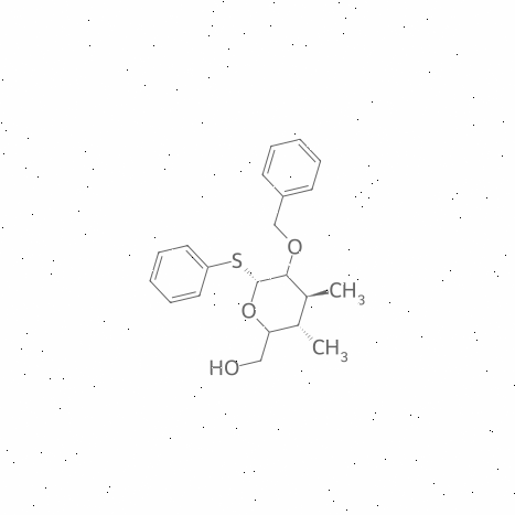 C[C@@H]1C(CO)O[C@H](Sc2ccccc2)C(OCc2ccccc2)[C@H]1C